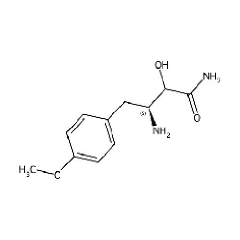 COc1ccc(C[C@H](N)C(O)C(N)=O)cc1